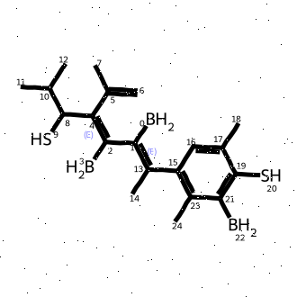 BC(/C(B)=C(\C(=C)C)C(S)C(C)C)=C(/C)c1cc(C)c(S)c(B)c1C